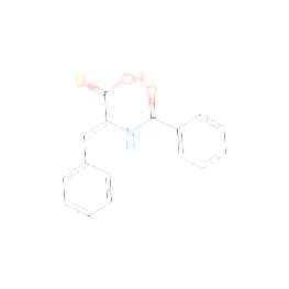 O=C(O)C(=Cc1ccccc1)NC(=O)c1ccccc1